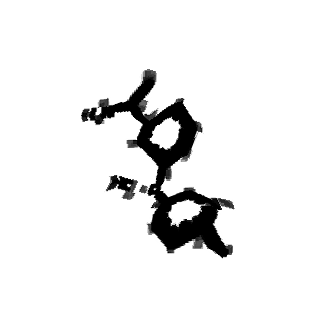 Cc1ccc(Oc2cccc(C(C)N)c2)cn1.Cl